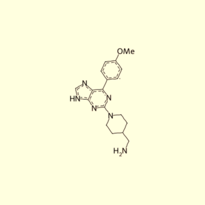 COc1c[c]c(-c2nc(N3CCC(CN)CC3)nc3[nH]cnc23)cc1